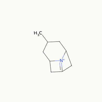 CC1CC2CC3=[N+]2C(C3)C1